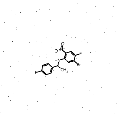 C[C@H](Nc1cc(Br)c(F)cc1[N+](=O)[O-])c1ccc(F)cc1